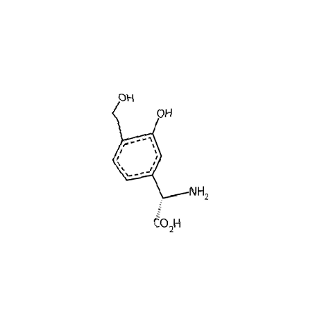 N[C@H](C(=O)O)c1ccc(CO)c(O)c1